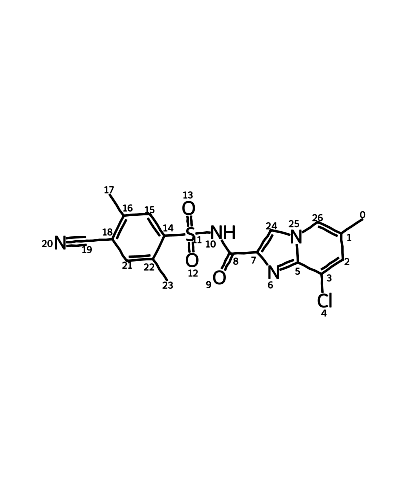 Cc1cc(Cl)c2nc(C(=O)NS(=O)(=O)c3cc(C)c(C#N)cc3C)cn2c1